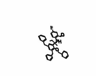 CCC(C)(Pc1ccc(F)cc1C=O)c1cc(Cc2ccccc2)cc(Cc2ccccc2)c1OCc1ccccc1